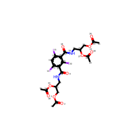 CC(=O)OCC(CNC(=O)c1c(I)[c]c(I)c(C(=O)NCC(COC(C)=O)OC(C)=O)c1I)OC(C)=O